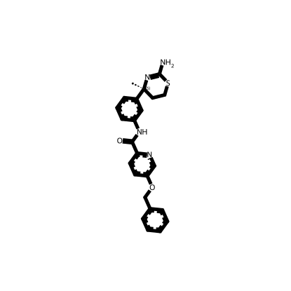 C[C@@]1(c2cccc(NC(=O)c3ccc(OCc4ccccc4)cn3)c2)CCSC(N)=N1